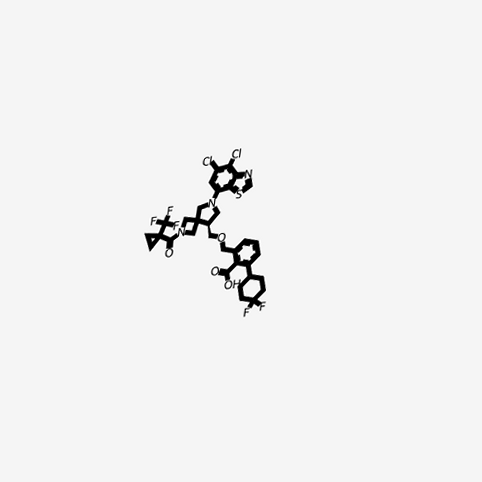 O=C(O)c1c(COC[C@@H]2CN(c3cc(Cl)c(Cl)c4ncsc34)CC23CN(C(=O)C2(C(F)(F)F)CC2)C3)cccc1C1CCC(F)(F)CC1